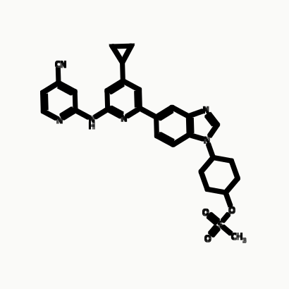 CS(=O)(=O)OC1CCC(n2cnc3cc(-c4cc(C5CC5)cc(Nc5cc(C#N)ccn5)n4)ccc32)CC1